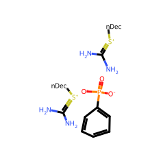 CCCCCCCCCC[S+]=C(N)N.CCCCCCCCCC[S+]=C(N)N.O=P([O-])([O-])c1ccccc1